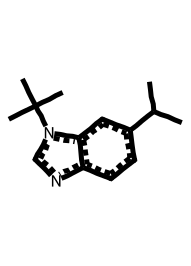 CC(C)c1ccc2ncn(C(C)(C)C)c2c1